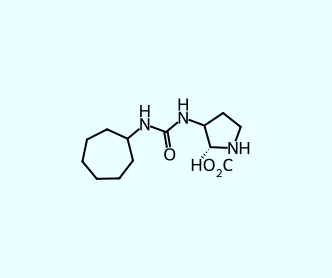 O=C(NC1CCCCCC1)NC1CCN[C@@H]1C(=O)O